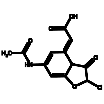 CC(=O)NC1=CC(=CC(=O)O)C2C(=O)C(Cl)OC2=C1